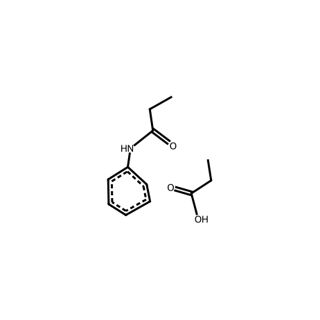 CCC(=O)Nc1ccccc1.CCC(=O)O